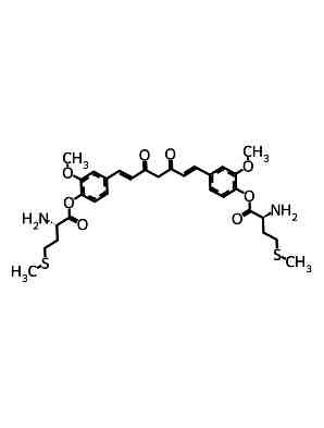 COc1cc(/C=C/C(=O)CC(=O)/C=C/c2ccc(OC(=O)[C@@H](N)CCSC)c(OC)c2)ccc1OC(=O)[C@@H](N)CCSC